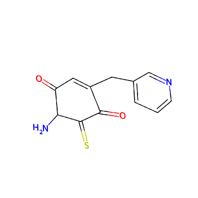 NC1C(=O)C=C(Cc2cccnc2)C(=O)C1=S